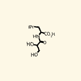 CC(C)CC(NC(=O)C(O)CO)C(=O)O